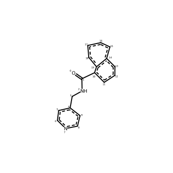 O=C(NCc1ccncc1)c1cccc2ccccc12